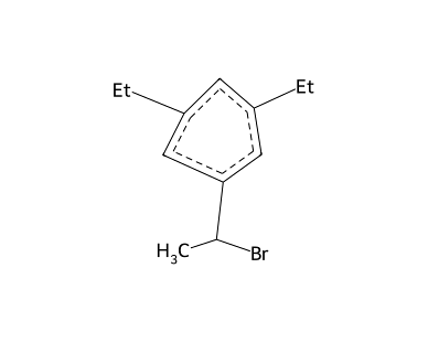 CCc1cc(CC)cc(C(C)Br)c1